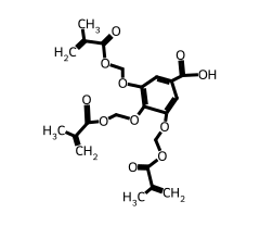 C=C(C)C(=O)OCOc1cc(C(=O)O)cc(OCOC(=O)C(=C)C)c1OCOC(=O)C(=C)C